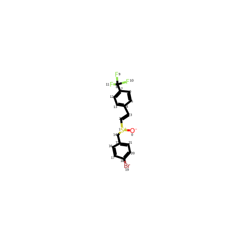 [O-][S+](C=Cc1ccc(C(F)(F)F)cc1)Cc1ccc(Br)cc1